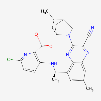 Cc1cc([C@@H](C)Nc2ccc(Cl)nc2C(=O)O)c2nc(N3CC4CC3CC4C)c(C#N)nc2c1